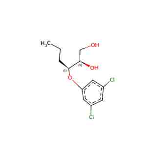 CCC[C@H](Oc1cc(Cl)cc(Cl)c1)[C@H](O)CO